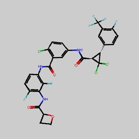 O=C(Nc1ccc(F)c(NC(=O)C2CCO2)c1F)c1cc(NC(=O)[C@H]2[C@H](c3ccc(F)c(C(F)(F)F)c3)C2(Cl)Cl)ccc1Cl